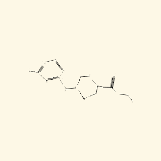 CCOC(=O)C1CCN(Cc2ccnc(C)c2)CC1